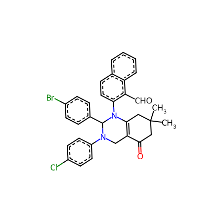 CC1(C)CC(=O)C2=C(C1)N(c1ccc3ccccc3c1C=O)C(c1ccc(Br)cc1)N(c1ccc(Cl)cc1)C2